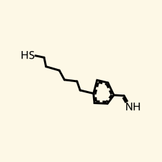 N=Cc1ccc(CCCCCCS)cc1